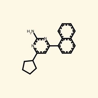 Nc1nc(-c2cccc3ccccc23)cc(C2CCCC2)n1